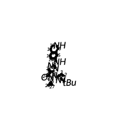 CC(C)(C)n1ccc(-n2c3nc(Nc4ccc5c(c4)CNCC5)ncc3c(=O)n2C2CC2)n1